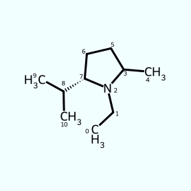 CCN1C(C)CC[C@H]1C(C)C